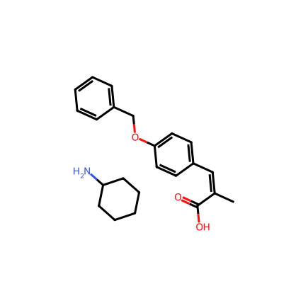 CC(=Cc1ccc(OCc2ccccc2)cc1)C(=O)O.NC1CCCCC1